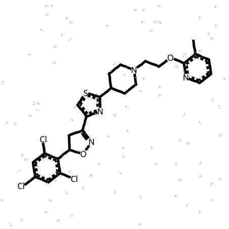 Cc1cccnc1OCCN1CCC(c2nc(C3=NOC(c4c(Cl)cc(Cl)cc4Cl)C3)cs2)CC1